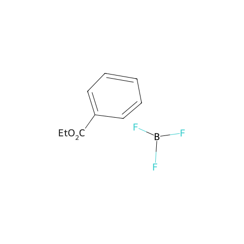 CCOC(=O)c1ccccc1.FB(F)F